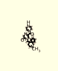 CN1CCC(O)(Cn2cc(C(=O)N3CCNCC3)ncc2=O)C2(CCCC2)C1